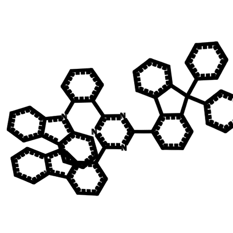 c1ccc(C2(c3ccccc3)c3ccccc3-c3c(-c4nc(-c5ccccc5-n5c6ccccc6c6ccccc65)nc(-c5cccc6c5sc5ccccc56)n4)cccc32)cc1